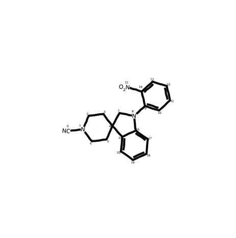 N#CN1CCC2(CC1)CN(c1ccccc1[N+](=O)[O-])c1ccccc12